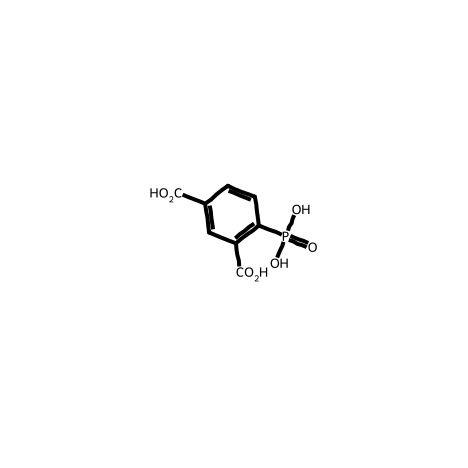 O=C(O)c1ccc(P(=O)(O)O)c(C(=O)O)c1